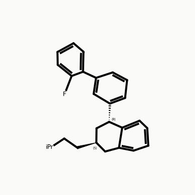 CC(C)CC[C@@H]1Cc2ccccc2[C@@H](c2cccc(-c3ccccc3F)c2)C1